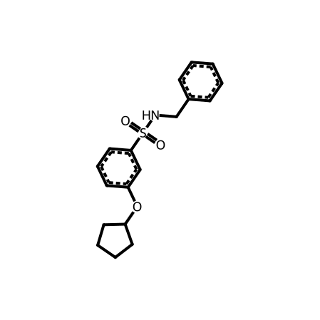 O=S(=O)(NCc1ccccc1)c1cccc(OC2CCCC2)c1